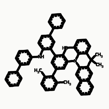 Cc1cccc(C)c1-c1cc(-c2cc(-c3ccccc3)ccc2Nc2cccc(-c3ccccc3)c2)c2c(c1)N1c3cc4ccccc4cc3C(C)(C)c3cccc(c31)B2